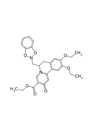 CCOC(=O)c1cn2c(cc1=O)-c1cc(OCC)c(OCC)cc1CC2CN1Oc2ccccc2O1